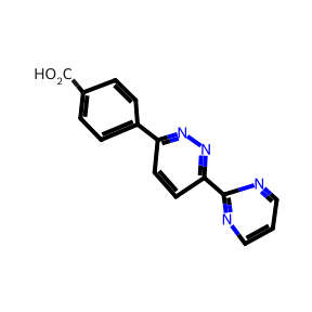 O=C(O)c1ccc(-c2ccc(-c3ncccn3)nn2)cc1